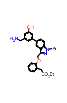 CCOC(=O)Cc1ccccc1OCc1nn(C(C)C)c2ccc(-c3cc(O)cc(CN)c3)cc12